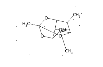 COC1C2OC3(C)OC(C2C)C(C)C1O3